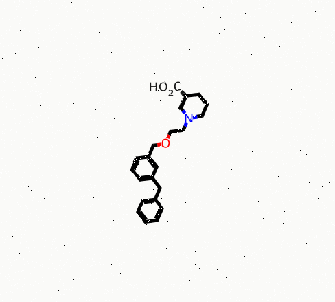 O=C(O)C1CCCN(CCOCc2cccc(Cc3ccccc3)c2)C1